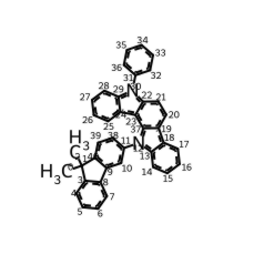 CC1(C)c2ccccc2-c2cc(-n3c4ccccc4c4ccc5c(c6ccccc6n5-c5ccccc5)c43)ccc21